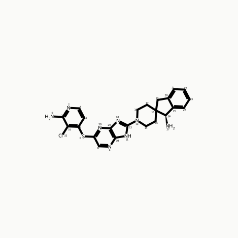 Nc1nccc(Sc2cnc3[nH]c(N4CCC5(CC4)Cc4ccccc4[C@H]5N)nc3n2)c1Cl